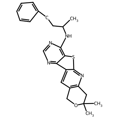 CC(CCc1ccccc1)Nc1ncnc2c1sc1nc3c(cc12)COC(C)(C)C3